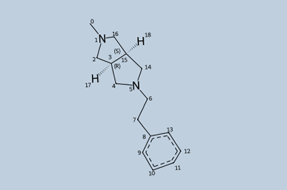 CN1C[C@@H]2CN(CCc3ccccc3)C[C@@H]2C1